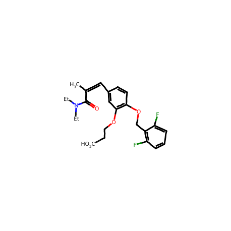 CCN(CC)C(=O)/C(C)=C\c1ccc(OCc2c(F)cccc2F)c(OCCC(=O)O)c1